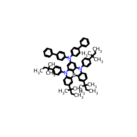 CCC(C)(C)c1ccc(N2c3ccc(C(C)(C)CC)cc3B3c4cc(C(C)(C)CC)ccc4N(c4ccc(C(C)(C)CC)cc4)c4cc(N(c5ccc(-c6ccccc6)cc5)c5ccc(-c6ccccc6)cc5)cc2c43)cc1